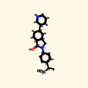 CC(C(=O)O)c1ccc(N2Cc3cc(-c4cccnc4)ccc3C2=O)cc1